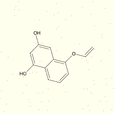 C=COc1cccc2c(O)cc(O)cc12